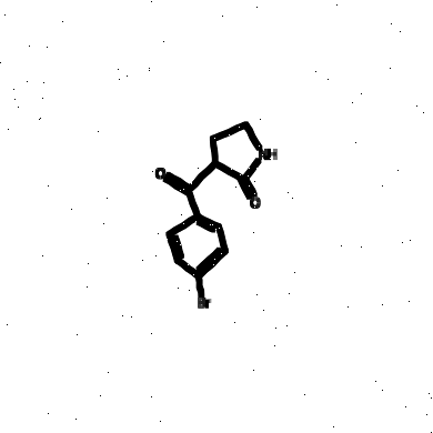 O=C1NCCC1C(=O)c1ccc(Br)cc1